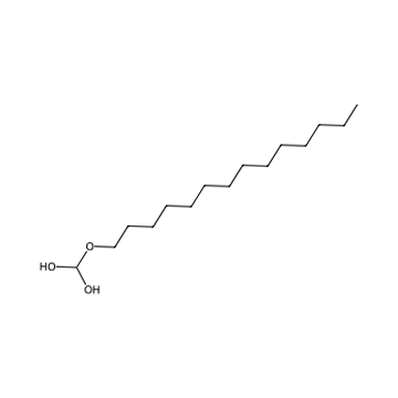 CCCCCCCCCCCCCCOC(O)O